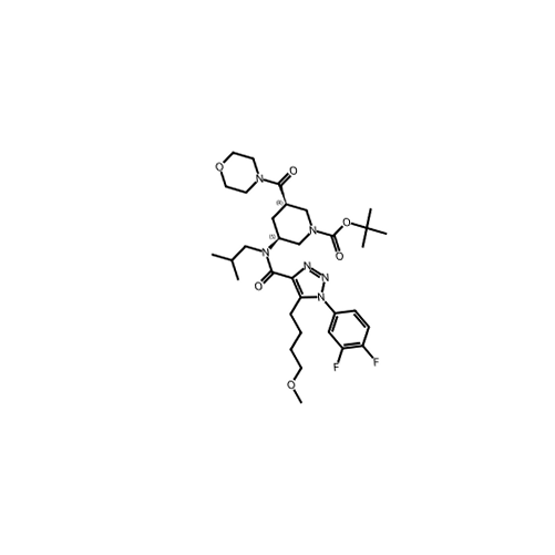 COCCCCc1c(C(=O)N(CC(C)C)[C@H]2C[C@@H](C(=O)N3CCOCC3)CN(C(=O)OC(C)(C)C)C2)nnn1-c1ccc(F)c(F)c1